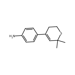 CC1(C)C=C(c2ccc(N)cc2)CCS1